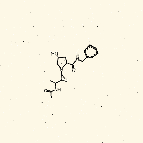 CC(=O)N[C@@H](C)C1OC1N1C[C@H](O)C[C@H]1C(=O)NCc1ccccc1